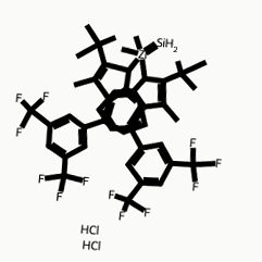 CC1=C(C(C)(C)C)[CH]([Zr]([CH3])([CH3])(=[SiH2])[CH]2C(C(C)(C)C)=C(C)c3c(-c4cc(C(F)(F)F)cc(C(F)(F)F)c4)cccc32)c2cccc(-c3cc(C(F)(F)F)cc(C(F)(F)F)c3)c21.Cl.Cl